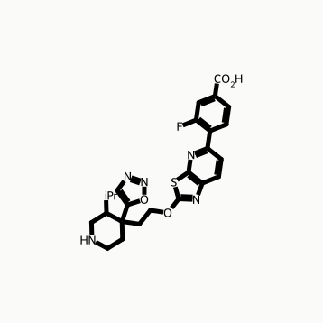 CC(C)C1CNCCC1(CCOc1nc2ccc(-c3ccc(C(=O)O)cc3F)nc2s1)c1cnno1